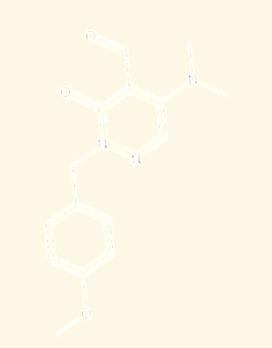 COc1ccc(Cn2ncc(N(C)C)c(C=O)c2=O)cc1